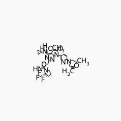 C[C@@H]1CN(c2ccc(N3C(=O)C(C)(C)c4c(NC5CC5)nc(COC(=N)N5CCC[C@@H]5C(F)(F)F)nc43)cn2)C[C@H](C)O1